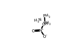 N.O=[N+]([O-])O.PP